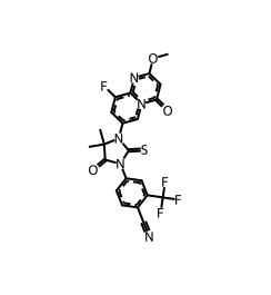 COc1cc(=O)n2cc(N3C(=S)N(c4ccc(C#N)c(C(F)(F)F)c4)C(=O)C3(C)C)cc(F)c2n1